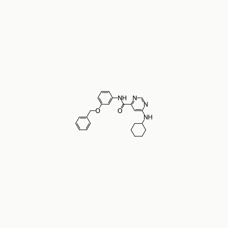 O=C(Nc1cccc(OCc2ccccc2)c1)c1cc(NC2CCCCC2)ncn1